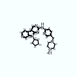 CCN1CCN(Cc2ccc(Nc3ncc4c5ccncc5n(C5CCCC5)c4n3)nc2)CC1